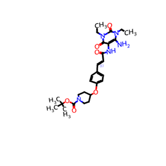 CCn1c(N)c(NC(=O)/C=C/c2ccc(OC3CCN(C(=O)OC(C)(C)C)CC3)cc2)c(=O)n(CC)c1=O